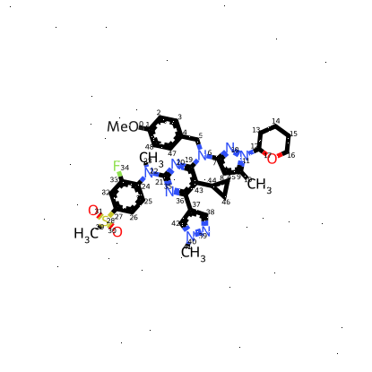 COc1ccc(CN(c2cc(C)n(C3CCCCO3)n2)c2nc(N(C)c3ccc(S(C)(=O)=O)cc3F)nc(-c3cnn(C)c3)c2C2CC2)cc1